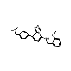 COc1ccccc1CNc1ccc(-c2ccc(CN(C)C)cc2)c2nncn12